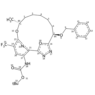 C[C@@H]1CCCCC[C@@H](OCc2ccccc2)c2nnc(o2)-c2nc(c(C(F)(F)F)cc2NC(=O)OC(C)(C)C)O1